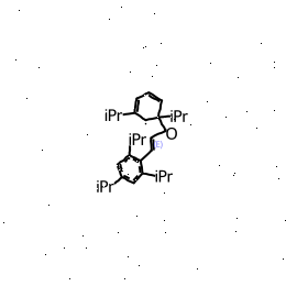 CC(C)C1=CC=CC(C(=O)/C=C/c2c(C(C)C)cc(C(C)C)cc2C(C)C)(C(C)C)[CH]1